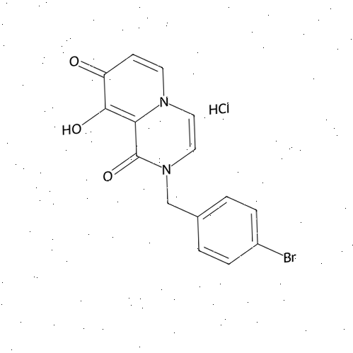 Cl.O=c1ccn2ccn(Cc3ccc(Br)cc3)c(=O)c2c1O